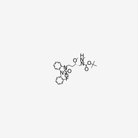 CNN(C[C@H](CCN1c2ccccc2N(c2ccccc2F)S1(=O)=O)OC)C(=O)OC(C)(C)C